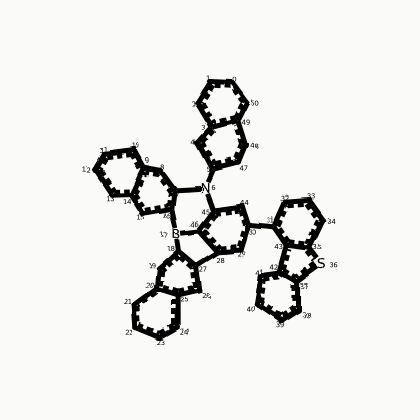 c1ccc2cc(N3c4cc5ccccc5cc4B4c5cc6ccccc6cc5-c5cc(-c6cccc7sc8ccccc8c67)cc3c54)ccc2c1